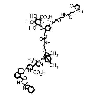 Cc1c(-c2ccc(N3CCc4cccc(C(=O)Nc5nc6ccccc6s5)c4C3)nc2C(=O)O)cnn1CC12CC3(C)CC(C)(C1)CC(OCCNC(=O)OCc1ccc(OCCOCCNC(=O)CCN4C(=O)C=CC4=O)cc1O[C@@H]1O[C@H](C(=O)O)[C@H](O)[C@H](O)[C@@H]1O)(C3)C2